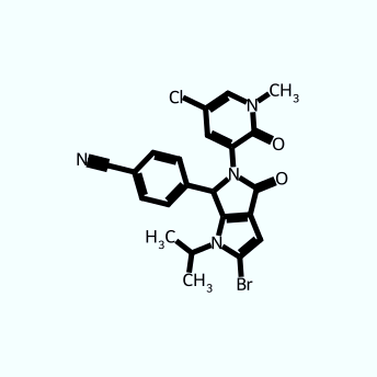 CC(C)n1c(Br)cc2c1C(c1ccc(C#N)cc1)N(c1cc(Cl)cn(C)c1=O)C2=O